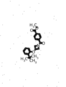 COC(=O)c1ccc(C(=O)N2CC(Oc3ccccc3C(C)(C)C)C2)cc1